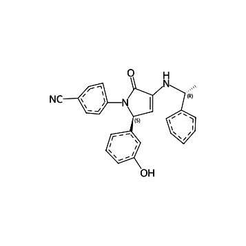 C[C@@H](NC1=C[C@@H](c2cccc(O)c2)N(c2ccc(C#N)cc2)C1=O)c1ccccc1